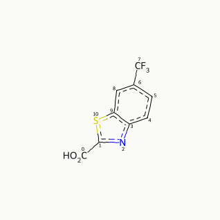 O=C(O)c1nc2ccc(C(F)(F)F)cc2s1